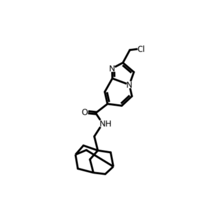 O=C(NCC12CC3CC(CC(C3)C1)C2)c1ccn2cc(CCl)nc2c1